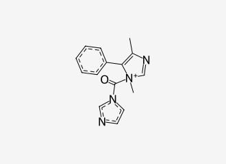 CC1=C(c2ccccc2)[N+](C)(C(=O)n2ccnc2)C=N1